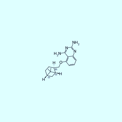 CC1(C)[C@H]2CC[C@@H](COc3cccc4nc(N)nc(N)c34)[C@@H]1C2